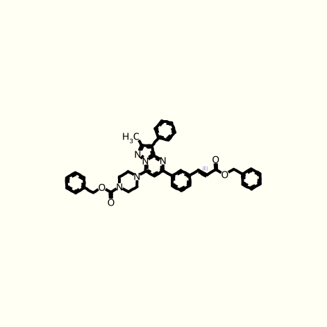 Cc1nn2c(N3CCN(C(=O)OCc4ccccc4)CC3)cc(-c3cccc(/C=C/C(=O)OCc4ccccc4)c3)nc2c1-c1ccccc1